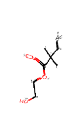 CC(=O)CC(C)(C)C(=O)OCCO